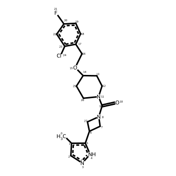 Cc1cn[nH]c1C1CN(C(=O)N2CCC(OCc3ccc(F)cc3Cl)CC2)C1